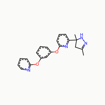 CC1=NNC(C)(c2cccc(Oc3cccc(Oc4ccccn4)c3)n2)C1